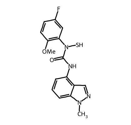 COc1ccc(F)cc1N(S)C(=O)Nc1cccc2c1cnn2C